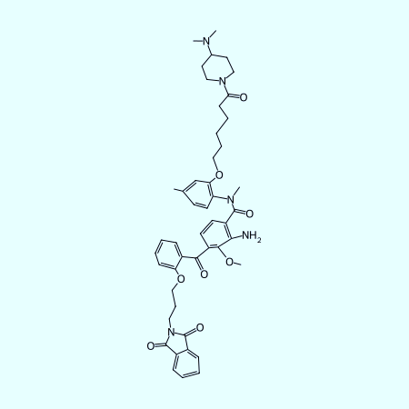 COc1c(C(=O)c2ccccc2OCCCN2C(=O)c3ccccc3C2=O)ccc(C(=O)N(C)c2ccc(C)cc2OCCCCCC(=O)N2CCC(N(C)C)CC2)c1N